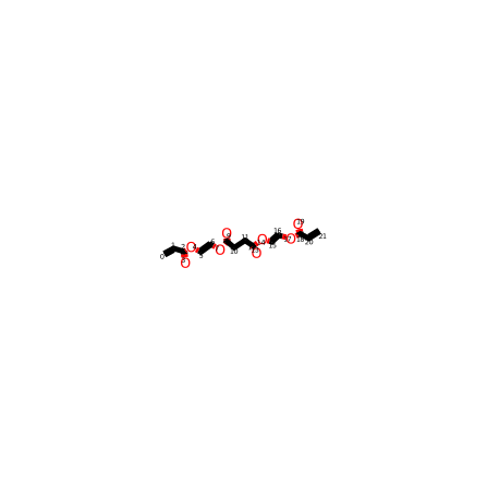 C=CC(=O)OC=COC(=O)CCC(=O)OC=COC(=O)C=C